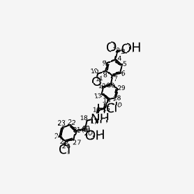 Cl.O=C(O)c1ccc2c(c1)COc1cc(CCNC[C@@H](O)c3cccc(Cl)c3)ccc1-2